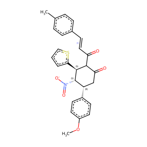 COc1ccc([C@H]2CC(=O)C(C(=O)/C=C/c3ccc(C)cc3)[C@H](c3cccs3)[C@H]2[N+](=O)[O-])cc1